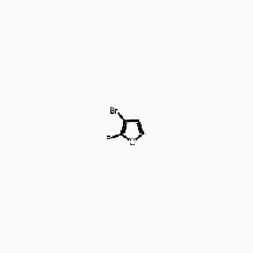 Fc1o[c]cc1Br